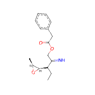 CCC(C(=N)COC(=O)Cc1ccccc1)[C@H]1O[C@H]1C